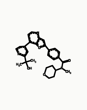 CN(C(=O)c1ccc(-c2cc3nccc(-c4ccnc(C(C)(C)O)c4)c3o2)cc1)C1CCOCC1